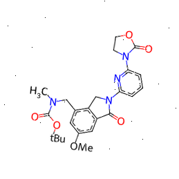 COc1cc(CN(C)C(=O)OC(C)(C)C)c2c(c1)C(=O)N(c1cccc(N3CCOC3=O)n1)C2